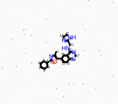 Cc1nc(-c2ccccc2)oc1-c1ccc2ncnc(NCc3ncc[nH]3)c2c1